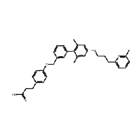 Cc1cccc(CCCOc2cc(C)c(-c3cccc(COc4ccc(CCC(=O)O)cc4)c3)c(C)c2)n1